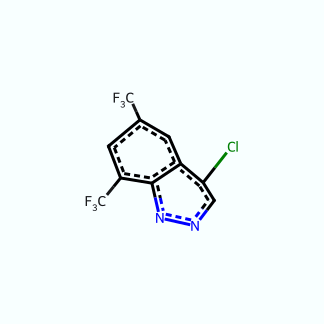 FC(F)(F)c1cc(C(F)(F)F)c2nncc(Cl)c2c1